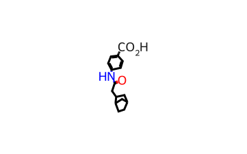 O=C(CC1CC2CCC1C2)Nc1ccc(C(=O)O)cc1